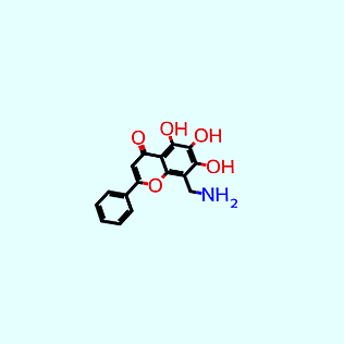 NCc1c(O)c(O)c(O)c2c(=O)cc(-c3ccccc3)oc12